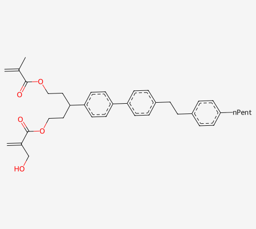 C=C(C)C(=O)OCCC(CCOC(=O)C(=C)CO)c1ccc(-c2ccc(CCc3ccc(CCCCC)cc3)cc2)cc1